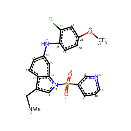 CNCc1cn(S(=O)(=O)c2cccnc2)c2cc(Nc3ccc(OC(F)(F)F)cc3F)ccc12